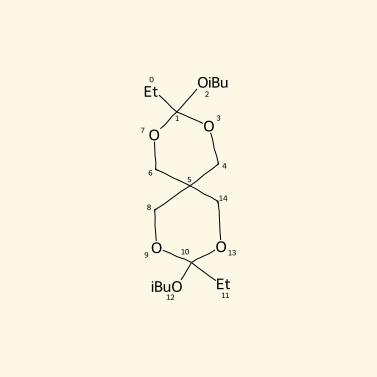 CCC1(OCC(C)C)OCC2(CO1)COC(CC)(OCC(C)C)OC2